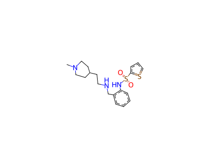 CN1CCC(CCNCc2ccccc2NS(=O)(=O)c2cccs2)CC1